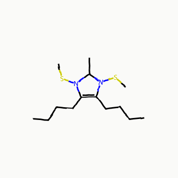 CCCCC1=C(CCCC)N(SC)C(C)N1SC